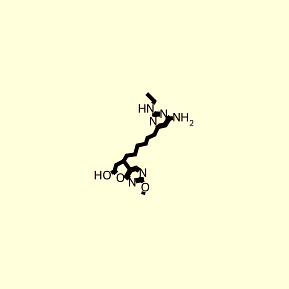 CCNc1nc(N)cc(CCCCCCC(CC(=O)O)c2cnc(OC)nc2)n1